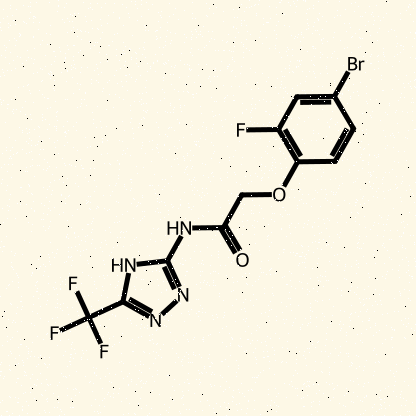 O=C(COc1ccc(Br)cc1F)Nc1nnc(C(F)(F)F)[nH]1